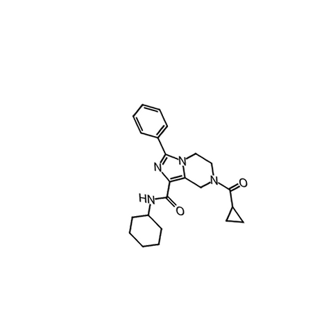 O=C(NC1CCCCC1)c1nc(-c2ccccc2)n2c1CN(C(=O)C1CC1)CC2